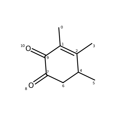 CC1=C(C)C(C)CC(=O)C1=O